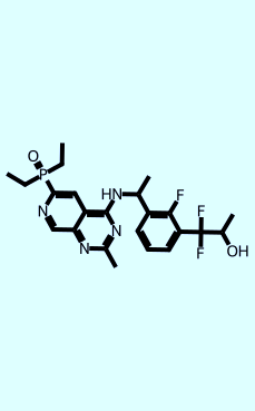 CCP(=O)(CC)c1cc2c(NC(C)c3cccc(C(F)(F)C(C)O)c3F)nc(C)nc2cn1